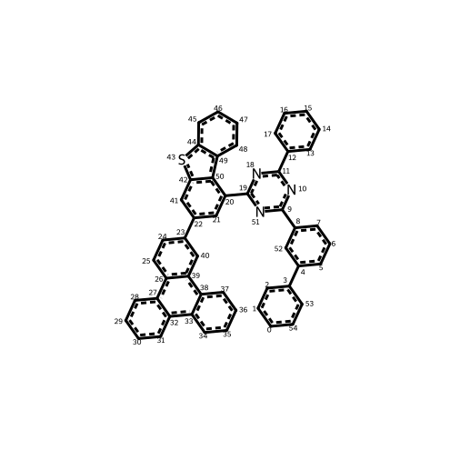 c1ccc(-c2cccc(-c3nc(-c4ccccc4)nc(-c4cc(-c5ccc6c7ccccc7c7ccccc7c6c5)cc5sc6ccccc6c45)n3)c2)cc1